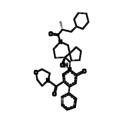 C[C@H](CC1CCCCC1)C(=O)N1CC[C@@](O)(Cn2cc(C(=O)N3CCOCC3)c(-c3ccccc3)cc2=O)C2(CCCC2)C1